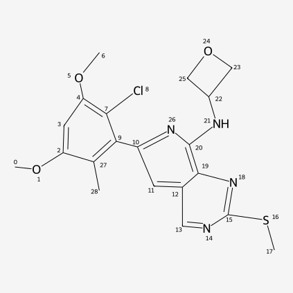 COc1cc(OC)c(Cl)c(-c2cc3cnc(SC)nc3c(NC3COC3)n2)c1C